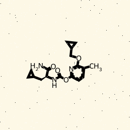 Cc1ccc(OC(=O)N[C@@H](CC2CC2)C(N)=O)nc1OCC1CC1